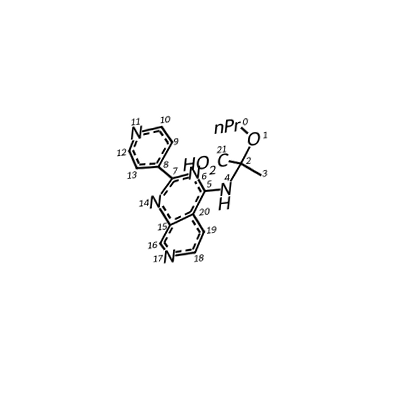 CCCOC(C)(Nc1nc(-c2ccncc2)nc2cnccc12)C(=O)O